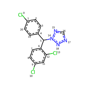 Clc1ccc(C(c2ccc(Cl)cc2Cl)n2ncnn2)cc1